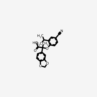 CC(C)c1cc(C#N)ccc1OC(C)(C(=O)O)c1ccc2c(c1)OCO2